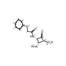 CC(=O)S[C@@H]1[C@H](NC(=O)COc2ccccc2)C(=O)N1S(=O)(=O)O